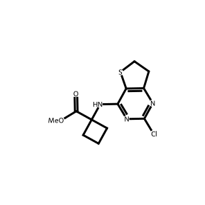 COC(=O)C1(Nc2nc(Cl)nc3c2SCC3)CCC1